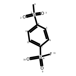 CS(=O)(=O)c1ccc(S(=O)(=O)F)cc1